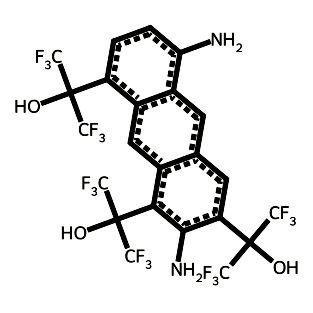 Nc1c(C(O)(C(F)(F)F)C(F)(F)F)cc2cc3c(N)ccc(C(O)(C(F)(F)F)C(F)(F)F)c3cc2c1C(O)(C(F)(F)F)C(F)(F)F